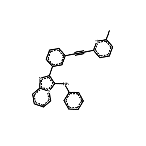 Cc1cccc(C#Cc2cccc(-c3nc4ccccn4c3Nc3ccccc3)c2)n1